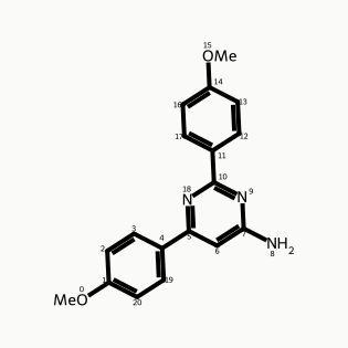 COc1ccc(-c2cc(N)nc(-c3ccc(OC)cc3)n2)cc1